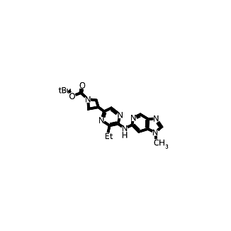 CCc1nc(C2CN(C(=O)OC(C)(C)C)C2)cnc1Nc1cc2c(cn1)ncn2C